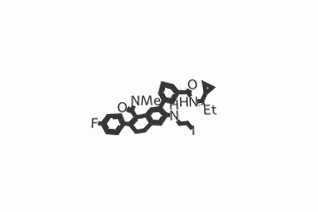 CC[C@H](NC(=O)c1cccc(-c2cc3c(cc2NCCI)CCC(c2ccc(F)cc2)=C3C(=O)NC)c1)C1CC1